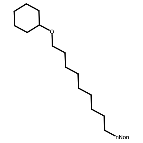 CCCCCCCCCCCCCCCCCCOC1CCCCC1